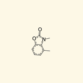 Cc1cccc2oc(=O)n(C)c12